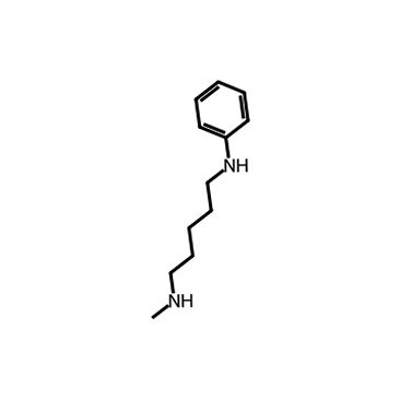 CNCCCCCNc1ccccc1